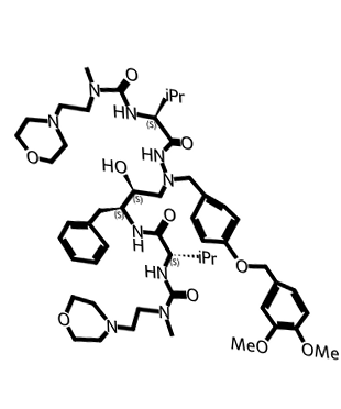 COc1ccc(COc2ccc(CN(C[C@H](O)[C@H](Cc3ccccc3)NC(=O)[C@@H](NC(=O)N(C)CCN3CCOCC3)C(C)C)NC(=O)[C@@H](NC(=O)N(C)CCN3CCOCC3)C(C)C)cc2)cc1OC